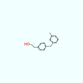 Cc1cccc(Cc2ccc(CCO)cc2)c1